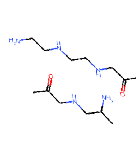 CC(=O)CNCC(C)N.CC(=O)CNCCNCCN